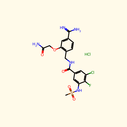 CS(=O)(=O)Nc1cc(C(=O)NCc2ccc(C(=N)N)cc2OCC(N)=O)cc(Cl)c1F.Cl